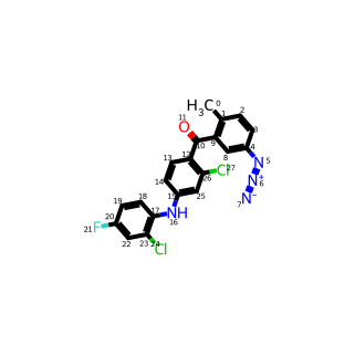 Cc1ccc(N=[N+]=[N-])cc1C(=O)c1ccc(Nc2ccc(F)cc2Cl)cc1Cl